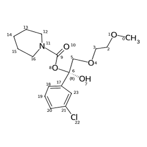 COCCOC[C@](O)(OC(=O)N1CCCCC1)c1cccc(Cl)c1